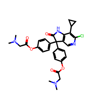 CN(C)CC(=O)Oc1ccc(C2(c3ccc(OC(=O)CN(C)C)cc3)C(=O)Nc3c2cnc(Cl)c3C2CC2)cc1